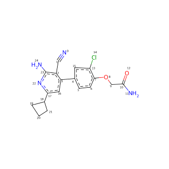 N#Cc1c(-c2ccc(OCC(N)=O)c(Cl)c2)cc(C2CCC2)nc1N